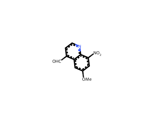 COc1cc([N+](=O)[O-])c2nccc(C=O)c2c1